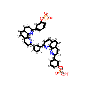 O=[PH](O)Oc1cccc(-c2ccc3ccc4ccc(-c5cccc(-c6ccc7ccc8ccc(-c9cccc(OP(O)O)c9)nc8c7n6)c5)nc4c3n2)c1